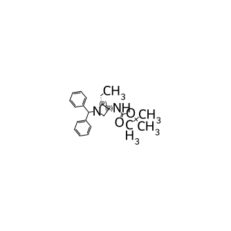 CC[C@@H]1[C@H](NC(=O)OC(C)(C)C)CN1C(c1ccccc1)c1ccccc1